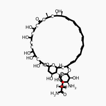 C[C@H]1C[C@H](O)[C@@H](C)/C=C/C=C/C=C/C=C/C=C/C=C/C=C/C(O[C@@H]2OC[C@@H](O)[C@H](N)[C@@H]2O)C[C@@H]2OC(O)(CC(O)CC(O)C(O)CCC(O)CC(O)CC(=O)O1)C[C@H](O)[C@H]2C(=O)NCC(F)(F)C(N)=O